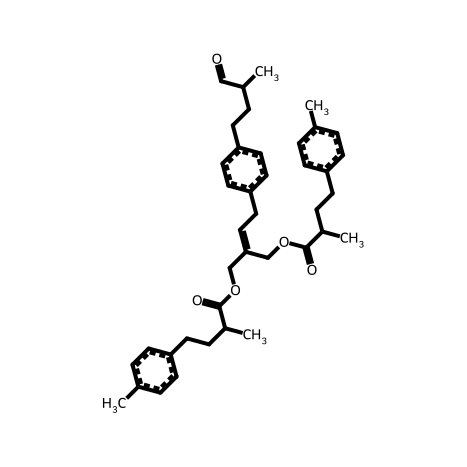 Cc1ccc(CCC(C)C(=O)OCC(=CCc2ccc(CCC(C)C=O)cc2)COC(=O)C(C)CCc2ccc(C)cc2)cc1